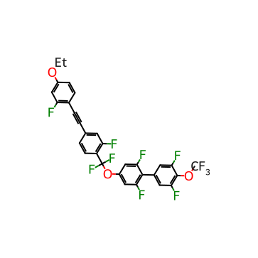 CCOc1ccc(C#Cc2ccc(C(F)(F)Oc3cc(F)c(-c4cc(F)c(OC(F)(F)F)c(F)c4)c(F)c3)c(F)c2)c(F)c1